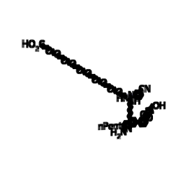 CCCCCc1cc2c(CCCCCN/C(=N\c3cccc(C#N)c3)NCCOCCOCCOCCOCCOCCOCCOCCOCCOCCOCCC(=O)O)cc(-c3cccc(S(=O)(=O)N4CC(CO)C4)c3)cc2nc1N